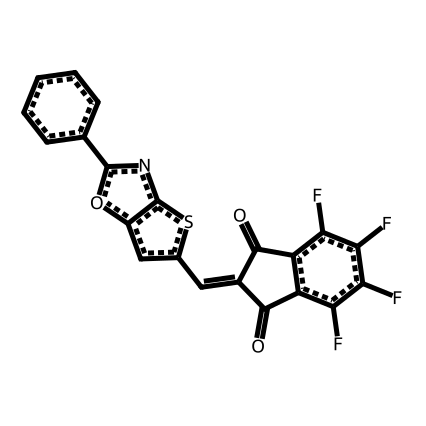 O=C1C(=Cc2cc3oc(-c4ccccc4)nc3s2)C(=O)c2c(F)c(F)c(F)c(F)c21